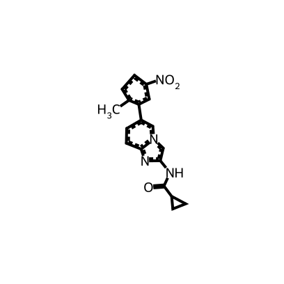 Cc1ccc([N+](=O)[O-])cc1-c1ccc2nc(NC(=O)C3CC3)cn2c1